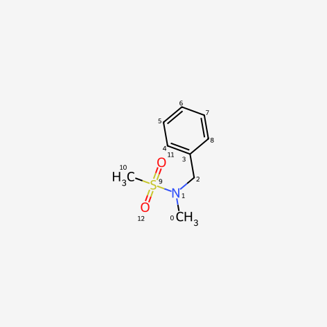 CN(Cc1ccccc1)S(C)(=O)=O